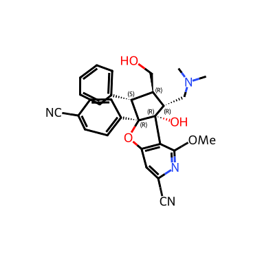 COc1nc(C#N)cc2c1[C@]1(O)[C@@H](CN(C)C)[C@H](CO)[C@@H](c3ccccc3)[C@]1(c1ccc(C#N)cc1)O2